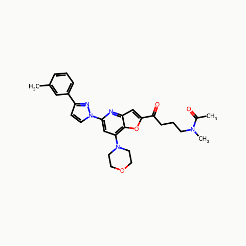 CC(=O)N(C)CCCC(=O)c1cc2nc(-n3ccc(-c4cccc(C)c4)n3)cc(N3CCOCC3)c2o1